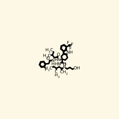 C=C(NCCCO)[C@@H](NC(=O)[C@@]1(NC(=O)[C@@H](NC(=O)Cc2ccccc2F)C(C)CC)CCc2[nH]c3c(C(F)(F)F)cccc3c2C1)C(C)CC